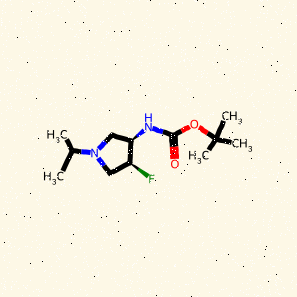 CC(C)N1C[C@H](F)[C@H](NC(=O)OC(C)(C)C)C1